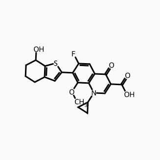 COc1c(-c2cc3c(s2)C(O)CCC3)c(F)cc2c(=O)c(C(=O)O)cn(C3CC3)c12